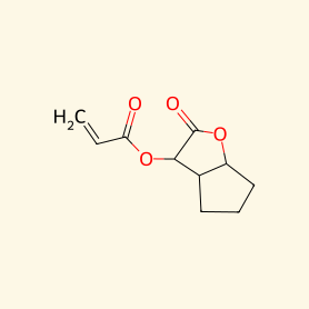 C=CC(=O)OC1C(=O)OC2CCCC21